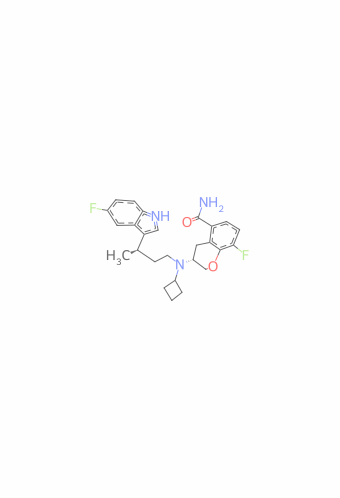 C[C@H](CCN(C1CCC1)[C@H]1COc2c(F)ccc(C(N)=O)c2C1)c1c[nH]c2ccc(F)cc12